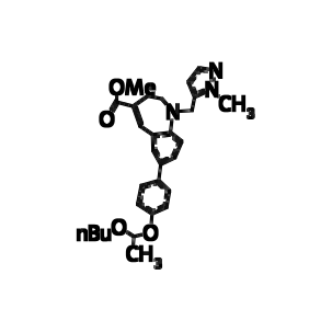 CCCCOC(C)Oc1ccc(-c2ccc3c(c2)C=C(C(=O)OC)CCN3Cc2ccnn2C)cc1